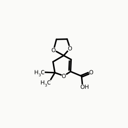 CC1(C)CC2(C=C(C(=O)O)O1)OCCO2